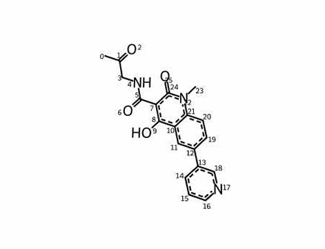 CC(=O)CNC(=O)c1c(O)c2cc(-c3cccnc3)ccc2n(C)c1=O